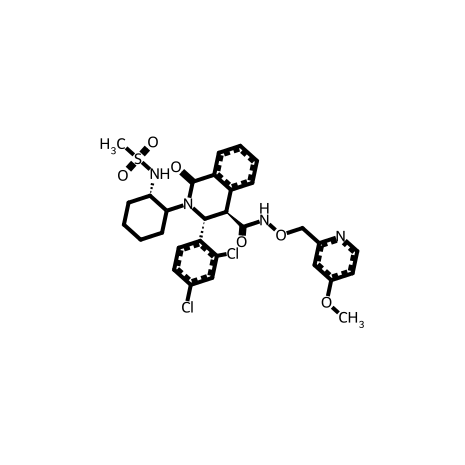 COc1ccnc(CONC(=O)[C@@H]2c3ccccc3C(=O)N(C3CCCC[C@@H]3NS(C)(=O)=O)[C@H]2c2ccc(Cl)cc2Cl)c1